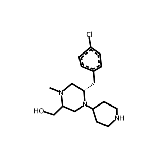 CN1C[C@H](Cc2ccc(Cl)cc2)N(C2CCNCC2)CC1CO